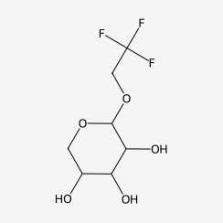 OC1COC(OCC(F)(F)F)C(O)C1O